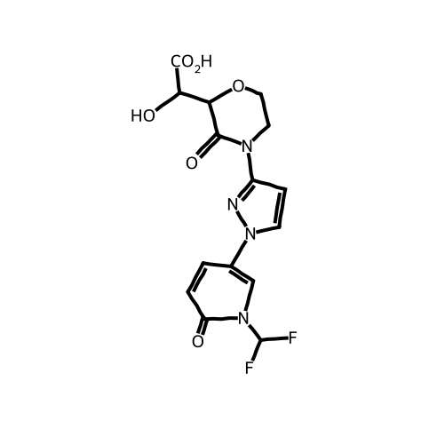 O=C(O)C(O)C1OCCN(c2ccn(-c3ccc(=O)n(C(F)F)c3)n2)C1=O